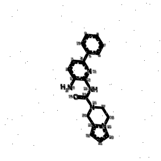 Nc1ccc(-c2ccccc2)nc1NC(=O)N1CCn2cccc2C1